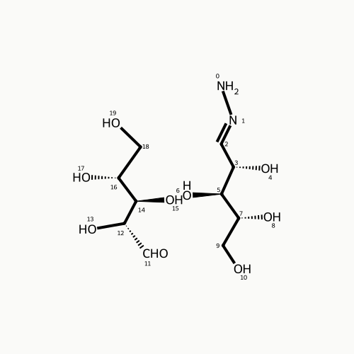 NN=C[C@H](O)[C@H](O)[C@H](O)CO.O=C[C@H](O)[C@H](O)[C@H](O)CO